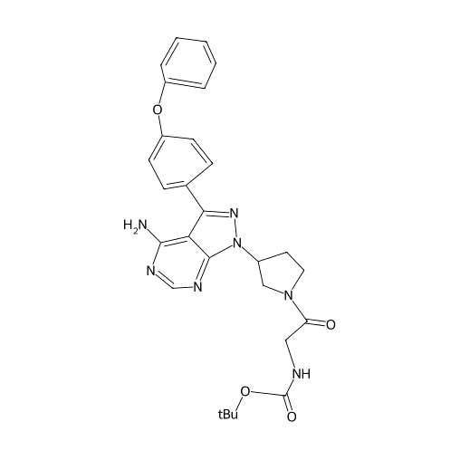 CC(C)(C)OC(=O)NCC(=O)N1CCC(n2nc(-c3ccc(Oc4ccccc4)cc3)c3c(N)ncnc32)C1